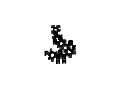 O=C(Nc1ccc(F)cc1)Nc1ccc(F)c(C(=O)c2ccc3ncc(N4CCCC4)nc3c2)c1